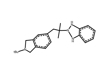 CC(C)(C)N1Cc2ccc(CC(C)(C)N3Nc4ccccc4N3)cc2C1